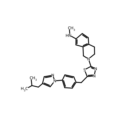 CNc1ccc2c(c1)CN(c1nnc(Cc3ccc(-n4cc(CC(C)C)cn4)cc3)s1)CC2